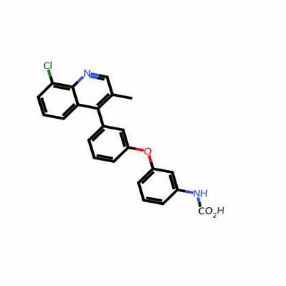 Cc1cnc2c(Cl)cccc2c1-c1cccc(Oc2cccc(NC(=O)O)c2)c1